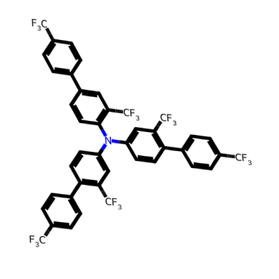 FC(F)(F)c1ccc(-c2ccc(N(c3ccc(-c4ccc(C(F)(F)F)cc4)c(C(F)(F)F)c3)c3ccc(-c4ccc(C(F)(F)F)cc4)c(C(F)(F)F)c3)c(C(F)(F)F)c2)cc1